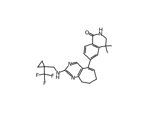 CC1(C)CNC(=O)c2ccc(C3=CCCCc4nc(NCC5(C(F)(F)F)CC5)ncc43)cc21